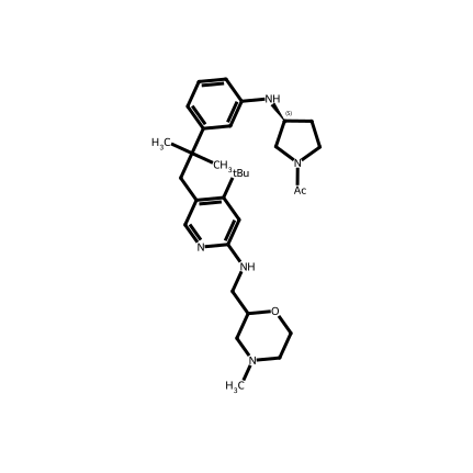 CC(=O)N1CC[C@H](Nc2cccc(C(C)(C)Cc3cnc(NCC4CN(C)CCO4)cc3C(C)(C)C)c2)C1